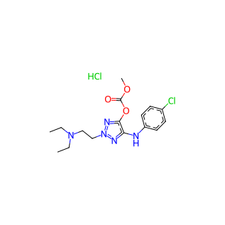 CCN(CC)CCn1nc(Nc2ccc(Cl)cc2)c(OC(=O)OC)n1.Cl